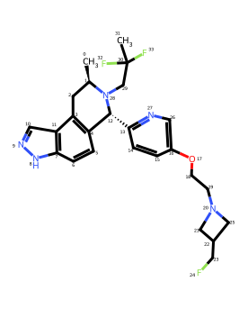 C[C@@H]1Cc2c(ccc3[nH]ncc23)[C@@H](c2ccc(OCCN3CC(CF)C3)cn2)N1CC(C)(F)F